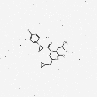 CC(C)C[C@H]1C(=O)N[C@@H](CC2CC2)CN1C(=O)[C@@H]1C[C@H]1c1ccc(F)cc1